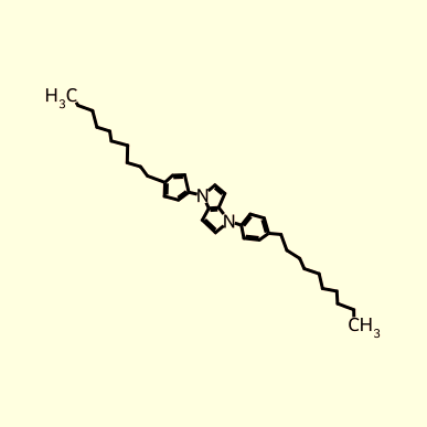 CCCCCCCCCCc1ccc(-n2ccc3c2ccn3-c2ccc(CCCCCCCCCC)cc2)cc1